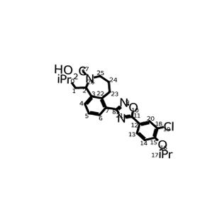 CC(C)CC1c2cccc(-c3noc(-c4ccc(OC(C)C)c(Cl)c4)n3)c2CCCN1C(=O)O